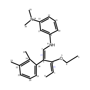 C/C=C(OCC)\C(=C/Nc1cccc(N(C)C)c1)c1cccc(C)c1C